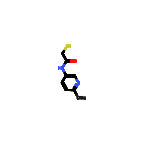 COc1ccc(NC(=O)CS)cn1